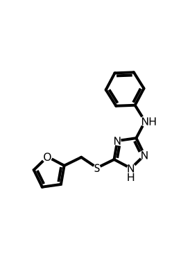 c1ccc(Nc2n[nH]c(SCc3ccco3)n2)cc1